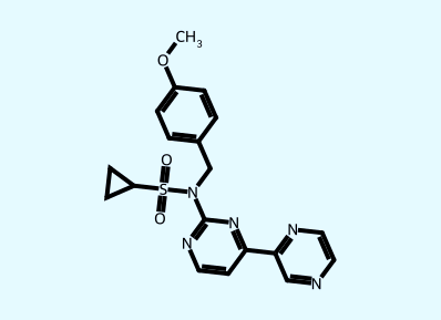 COc1ccc(CN(c2nccc(-c3cnccn3)n2)S(=O)(=O)C2CC2)cc1